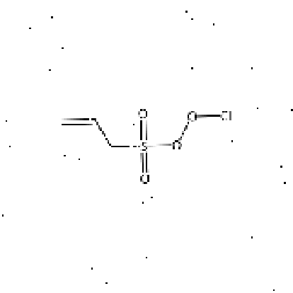 C=CCS(=O)(=O)OOCl